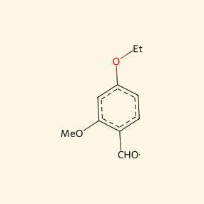 CCOc1ccc([C]=O)c(OC)c1